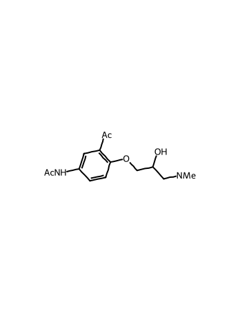 CNCC(O)COc1ccc(NC(C)=O)cc1C(C)=O